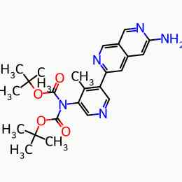 Cc1c(-c2cc3cc(N)ncc3cn2)cncc1N(C(=O)OC(C)(C)C)C(=O)OC(C)(C)C